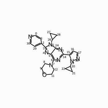 c1cc(-c2nc3c(N4CCOCC4)nc(-c4ccnn4C4CC4)nc3n2C2CC2)ccn1